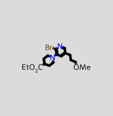 CCOC(=O)C1CCN(c2cc(CCCOC)cnc2Br)CC1